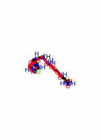 CN(C/C=C/C(=O)Nc1ccc(C(=O)Nc2cccc(Nc3ncc(Cl)c(-c4c[nH]c5ccccc45)n3)c2)cc1)CCCNC(=O)NCCOCCOCCOCCNC(=O)CCCC[C@@H]1SC[C@@H]2NC(=O)N[C@@H]21